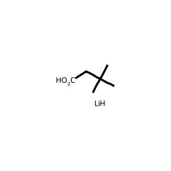 CC(C)(C)CC(=O)O.[LiH]